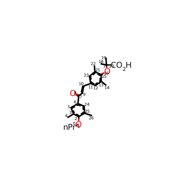 CCCOc1c(C)cc(C(=O)C=Cc2cc(C)c(OC(C)(C)C(=O)O)c(C)c2)cc1C